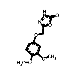 COc1ccc(OCc2n[nH]c(=O)o2)cc1OC